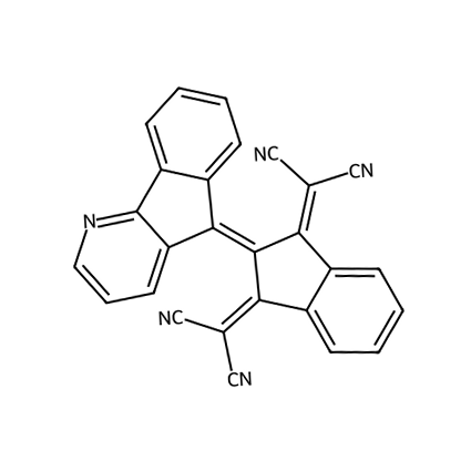 N#CC(C#N)=C1C(=C2c3ccccc3-c3ncccc32)C(=C(C#N)C#N)c2ccccc21